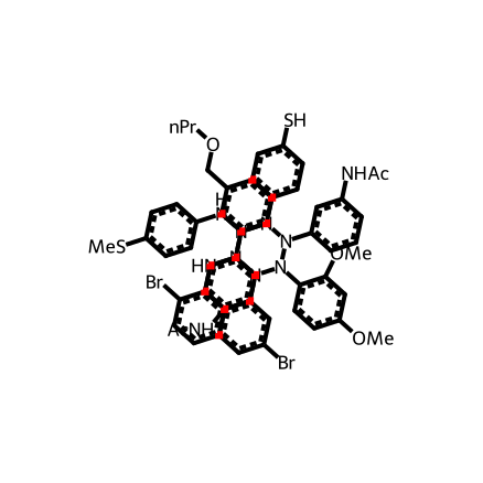 CCCOCc1cccc(N(Nc2ccccc2Br)N(c2cccc(Br)c2)N(c2ccc(OC)cc2OC)N(c2cccc(NC(C)=O)c2)N(c2ccc(S)cc2)N(Nc2ccc(SC)cc2)c2ccc(NC(C)=O)cc2)c1